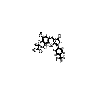 COc1cc(CN2C(=O)CN(c3ccc(C(F)(F)F)cc3)C2O)cc(Cl)c1OC(C)(C)C(=O)O